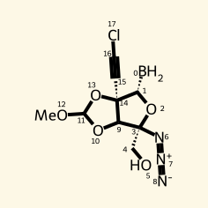 B[C@@H]1O[C@@](CO)(N=[N+]=[N-])C2OC(OC)O[C@]21C#CCl